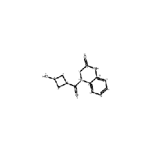 O=C1CN(C(=O)C2CC(O)C2)c2ccccc2N1